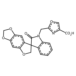 O=C(O)c1coc(CN2C(=O)C3(COc4cc5c(cc43)OCO5)c3ccccc32)n1